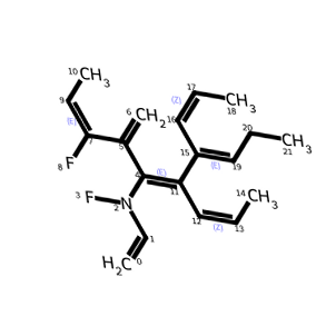 C=CN(F)/C(C(=C)/C(F)=C\C)=C(\C=C/C)C(/C=C\C)=C/CC